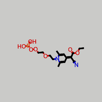 CCOC(=O)C(C#N)=C1C=C(C)N(CCOCCOOP(O)O)C(C)=C1